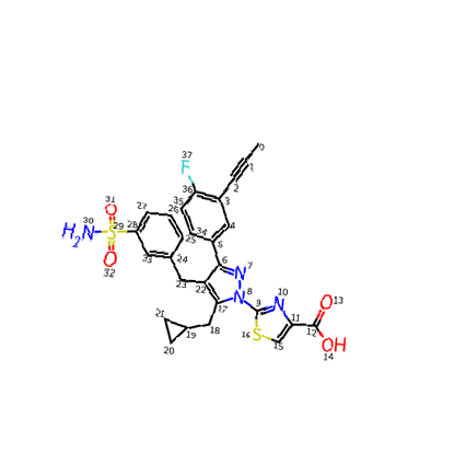 CC#Cc1cc(-c2nn(-c3nc(C(=O)O)cs3)c(CC3CC3)c2Cc2cccc(S(N)(=O)=O)c2)ccc1F